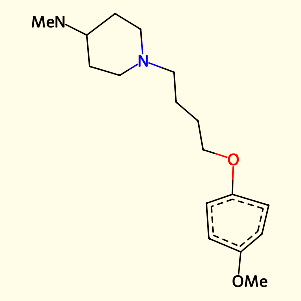 CNC1CCN(CCCCOc2ccc(OC)cc2)CC1